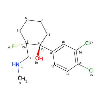 CNC[C@@]1(F)CCCC[C@]1(O)c1ccc(Cl)c(Cl)c1